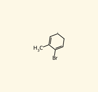 CC1=C[CH]CC=C1Br